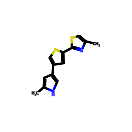 Cc1csc(-c2cc(-c3c[nH]c(C)c3)cs2)n1